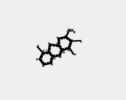 Cc1c(N)cc2cc3c(C)cccc3cc2c1C